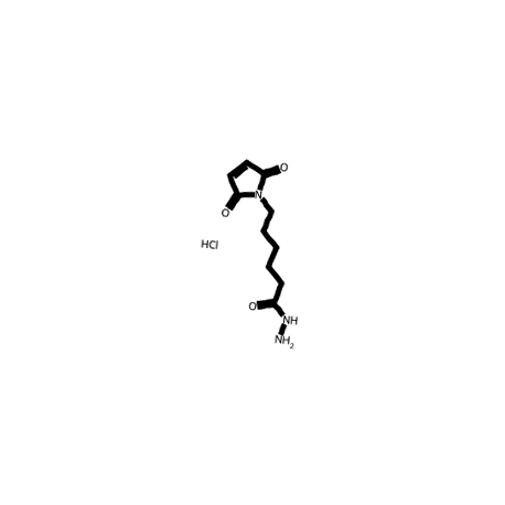 Cl.NNC(=O)CCCCCN1C(=O)C=CC1=O